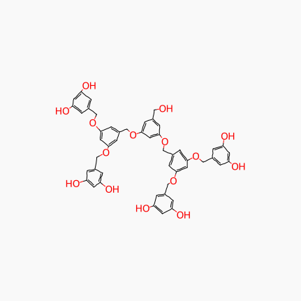 OCc1cc(OCc2cc(OCc3cc(O)cc(O)c3)cc(OCc3cc(O)cc(O)c3)c2)cc(OCc2cc(OCc3cc(O)cc(O)c3)cc(OCc3cc(O)cc(O)c3)c2)c1